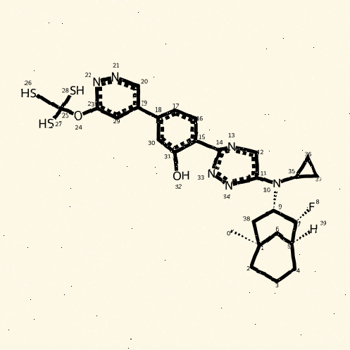 C[C@@]12CCC[C@@H](C1)[C@@H](F)[C@@H](N(c1cnc(-c3ccc(-c4cnnc(OC(S)(S)S)c4)cc3O)nn1)C1CC1)C2